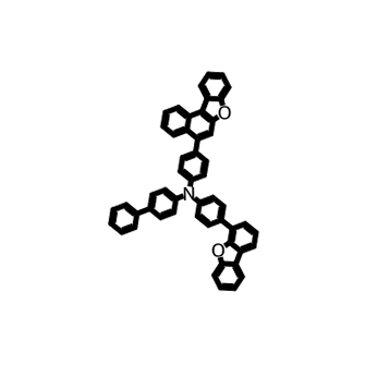 c1ccc(-c2ccc(N(c3ccc(-c4cc5oc6ccccc6c5c5ccccc45)cc3)c3ccc(-c4cccc5c4oc4ccccc45)cc3)cc2)cc1